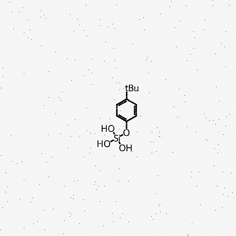 CC(C)(C)c1ccc(O[Si](O)(O)O)cc1